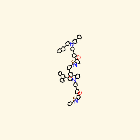 c1ccc(-c2ccc(N(c3ccc(-c4ccc5c(c4)oc4ccc6nc(-c7cccc(-c8cccc(-c9ccccc9N(c9ccc(-c%10ccc%11c(c%10)oc%10ccc%12nc(-c%13ccccc%13)sc%12c%10%11)cc9)c9ccc(-c%10cc%11ccccc%11c%11ccccc%10%11)cc9)c8)c7)sc6c45)cc3)c3cccc(-c4ccc5ccccc5c4)c3)cc2)cc1